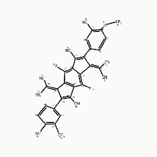 N#CC(C#N)=C1C(c2ccc(OC(F)(F)F)c(C#N)c2)=C(C#N)c2c(F)c3c(c(F)c21)C(C#N)=C(c1ccc(C#N)c(C(F)(F)F)c1)C3=C(C#N)C#N